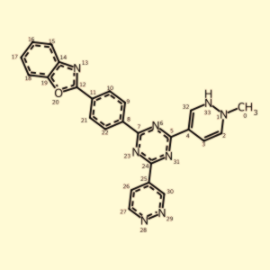 CN1C=CC(c2nc(-c3ccc(-c4nc5ccccc5o4)cc3)nc(-c3ccnnc3)n2)=CN1